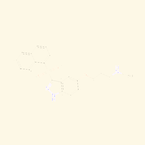 CCCCNCCCOc1ccc2[nH]nc(S(=O)(=O)c3cccc4ccccc34)c2c1